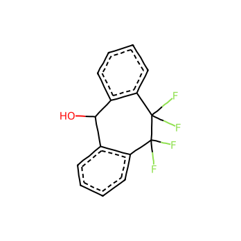 OC1c2ccccc2C(F)(F)C(F)(F)c2ccccc21